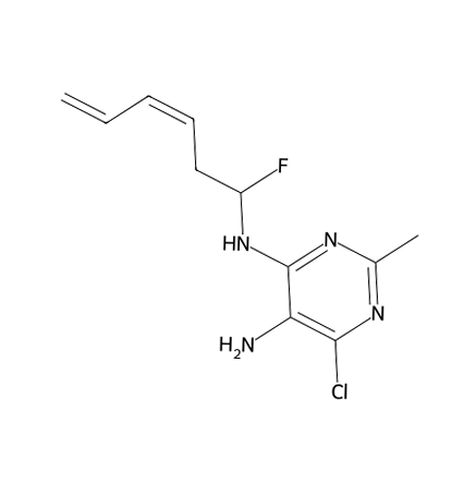 C=C/C=C\CC(F)Nc1nc(C)nc(Cl)c1N